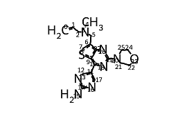 C=CCN(C)Cc1csc2c(-c3cnc(N)nc3)nc(N3CCOCC3)nc12